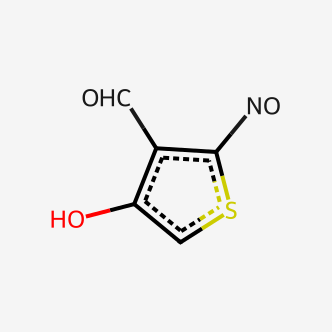 O=Cc1c(O)csc1N=O